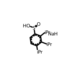 CC(C)c1ccc(S(=O)O)c(C(C)C)c1C(C)C.[NaH]